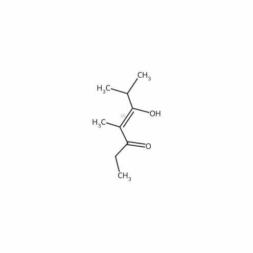 CCC(=O)/C(C)=C(\O)C(C)C